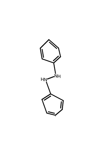 [c]1ccc(NNc2ccccc2)cc1